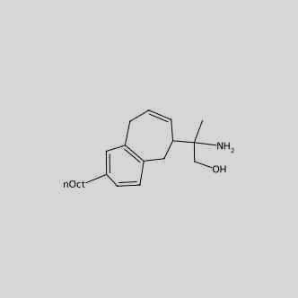 CCCCCCCCc1ccc2c(c1)CC=CC(C(C)(N)CO)C2